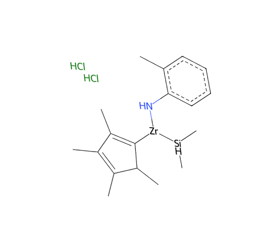 CC1=C(C)C(C)[C]([Zr]([NH]c2ccccc2C)[SiH](C)C)=C1C.Cl.Cl